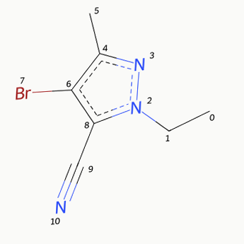 CCn1nc(C)c(Br)c1C#N